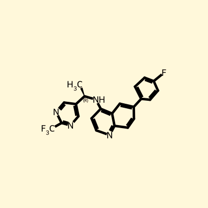 C[C@@H](Nc1ccnc2ccc(-c3ccc(F)cc3)cc12)c1cnc(C(F)(F)F)nc1